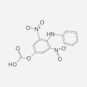 O=C(O)Oc1cc([N+](=O)[O-])c(Nc2ccccc2)c([N+](=O)[O-])c1